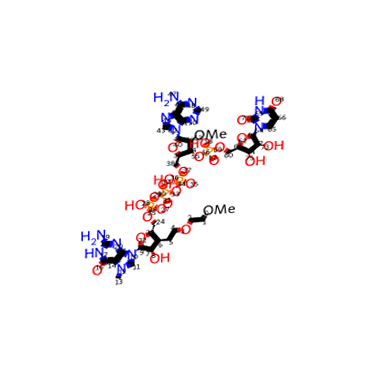 COCCOCC[C@H]1[C@@H](O)[C@H](n2c[n+](C)c3c(=O)[nH]c(N)nc32)O[C@@H]1COP(=O)(O)OP(=O)(O)OP(=O)(O)OC[C@H]1O[C@@H](n2cnc3c(N)ncnc32)[C@H](OC)[C@@H]1OP(=O)(O)OC[C@H]1O[C@@H](n2ccc(=O)[nH]c2=O)[C@H](O)[C@@H]1O